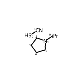 CC(C)N1CCCC1.N#CS